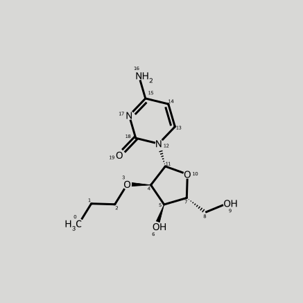 CCCO[C@@H]1[C@H](O)[C@@H](CO)O[C@H]1n1ccc(N)nc1=O